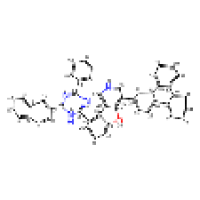 c1ccc(C2=NC(c3ccc4ccccc4c3)NC(c3cccc4oc5c(-c6ccc7c8ccccc8c8ccccc8c7c6)cncc5c34)=N2)cc1